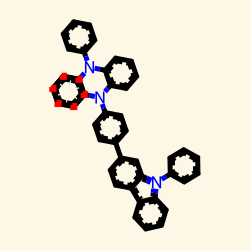 c1ccc(N(c2ccccc2)c2ccccc2N(c2ccccc2)c2ccc(-c3ccc4c5ccccc5n(-c5ccccc5)c4c3)cc2)cc1